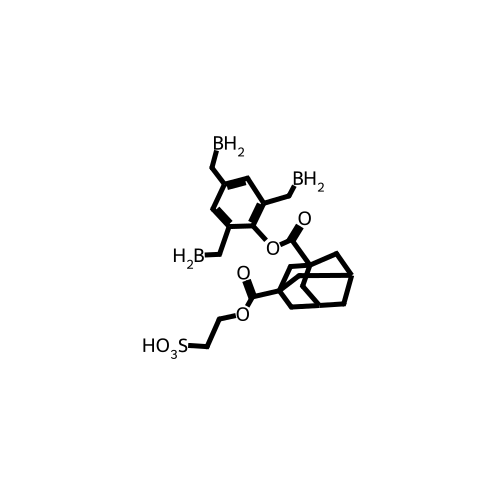 BCc1cc(CB)c(OC(=O)C23CC4CC(CC(C(=O)OCCS(=O)(=O)O)(C4)C2)C3)c(CB)c1